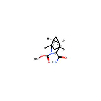 CC(C)(C)OC(=O)N1[C@H](C(N)=O)[C@@H]2C[C@H]1[C@H]1C[C@@H]21